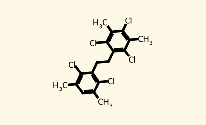 Cc1cc(C)c(Cl)c(CCc2c(Cl)c(C)c(Cl)c(C)c2Cl)c1Cl